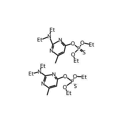 CCOP(=S)(OCC)Oc1cc(C)nc(N(CC)CC)n1.CCOP(=S)(OCC)Oc1cc(C)nc(N(CC)CC)n1